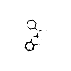 CC(C)(C)N(C(=O)Oc1ccccc1N)C1CCCNC1